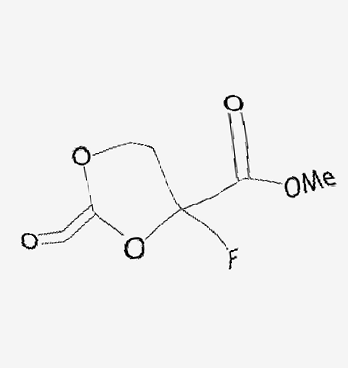 COC(=O)C1(F)COC(=O)O1